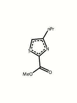 CCCc1csc(C(=O)OC)n1